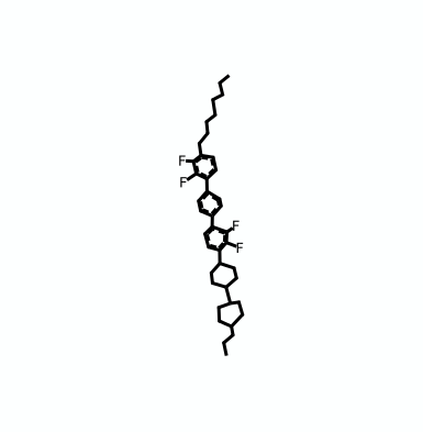 CCCCCCCCc1ccc(-c2ccc(-c3ccc(C4CCC(C5CCC(CCC)CC5)CC4)c(F)c3F)cc2)c(F)c1F